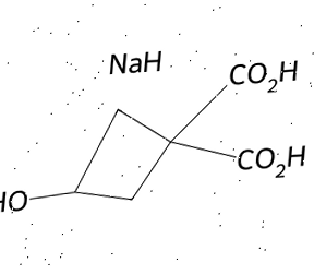 O=C(O)C1(C(=O)O)CC(O)C1.[NaH]